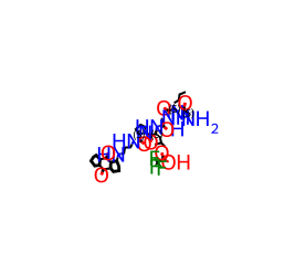 CCCC[C@H](NC(=O)[C@H](C)N)C(=O)NCC(=O)N[C@@H](CC(C)C)C(=O)N1CCC[C@H]1C(=O)NCCCNc1cccc2c1C(=O)c1ccccc1C2=O.O=C(O)C(F)(F)F